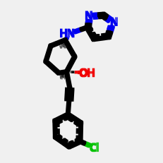 O[C@]1(C#Cc2cccc(Cl)c2)CCC[C@@H](Nc2ccncn2)C1